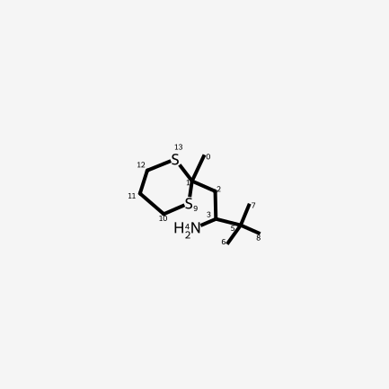 CC1(CC(N)C(C)(C)C)SCCCS1